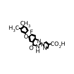 Cc1ccc(Oc2cc3c(=O)[nH]c(-n4cc(C(=O)O)cn4)nc3cc2F)cc1C